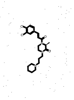 C[C@H]1C(=O)N(CCCN2CCCCC2)CCN1C(=O)/C=C/c1ccc(Cl)c(Cl)c1